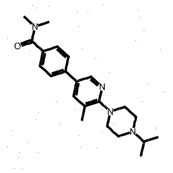 Cc1cc(-c2ccc(C(=O)N(C)C)cc2)cnc1N1CCN(C(C)C)CC1